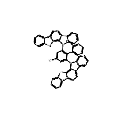 N#Cc1cc(-n2c3ccccc3c3ccc4c5ccccc5oc4c32)c(-c2ccccc2C(F)(F)F)c(-n2c3ccccc3c3ccc4c5ccccc5oc4c32)c1